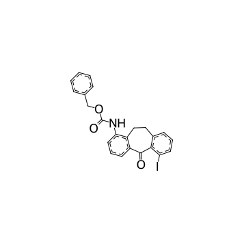 O=C(Nc1cccc2c1CCc1cccc(I)c1C2=O)OCc1ccccc1